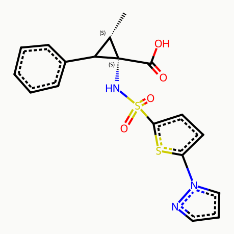 C[C@H]1C(c2ccccc2)[C@]1(NS(=O)(=O)c1ccc(-n2cccn2)s1)C(=O)O